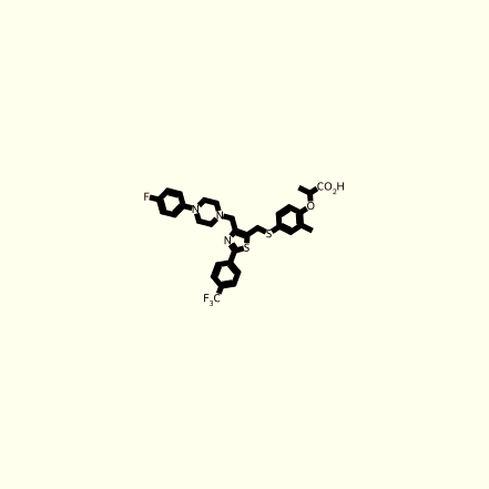 Cc1cc(SCc2sc(-c3ccc(C(F)(F)F)cc3)nc2CN2CCN(c3ccc(F)cc3)CC2)ccc1OC(C)C(=O)O